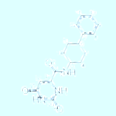 O=C(NC1CCC(c2ccccc2)CC1)c1cc(=O)[nH]c(=O)[nH]1